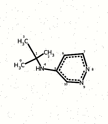 CC(C)(C)Nc1ccnnc1